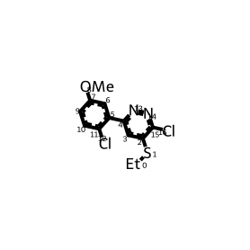 CCSc1cc(-c2cc(OC)ccc2Cl)nnc1Cl